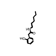 CCCCCCNC(=O)Cc1ccccc1O